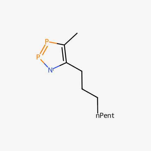 CCCCCCCCC1=C(C)P=P[N]1